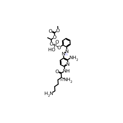 COC(=O)OC(C)OP(=O)(O)Oc1ccccc1/N=N/c1ccc(NC(=O)[C@@H](N)CCCCN)nc1N